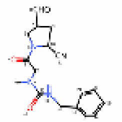 CN(CC(=O)N1CC(C=O)CC1C#N)C(=O)NCc1ccccc1